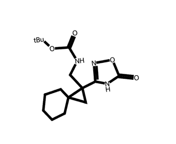 CC(C)(C)OC(=O)NCC1(c2noc(=O)[nH]2)CC12CCCCC2